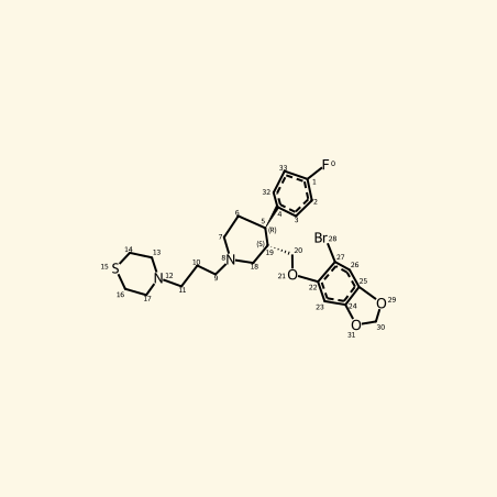 Fc1ccc([C@@H]2CCN(CCCN3CCSCC3)C[C@H]2COc2cc3c(cc2Br)OCO3)cc1